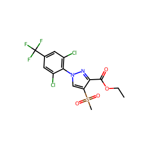 CCOC(=O)c1nn(-c2c(Cl)cc(C(F)(F)F)cc2Cl)cc1S(C)(=O)=O